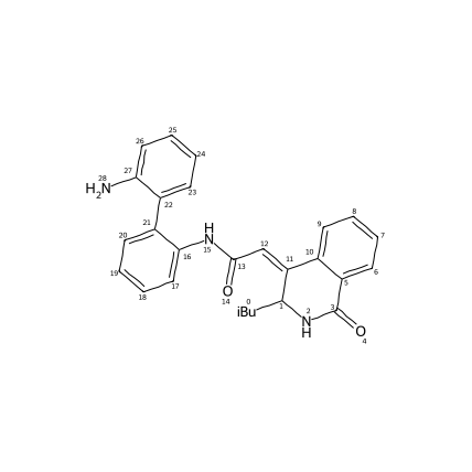 CCC(C)C1NC(=O)c2ccccc2/C1=C/C(=O)Nc1ccccc1-c1ccccc1N